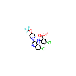 O=C(O)c1cc(Cl)ccc1Nc1c(N2CCC(OC(F)(F)F)CC2)cnc2ccc(Cl)cc12